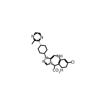 Cc1nccnc1[C@H]1CC[C@H](N2N=CN3C2=CNC2=C(CCC(Cl)=C2)C3C(=O)O)CC1